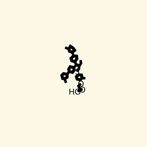 CCC(CSc1ccc(OCC(=O)O)c(C)c1)=C(c1ccc(-c2cccc(C)c2)cc1)c1ccc(-c2cccc(C)c2)cc1